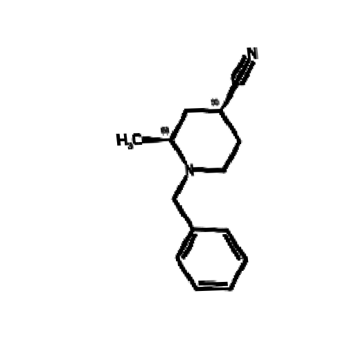 C[C@H]1C[C@@H](C#N)CCN1Cc1ccccc1